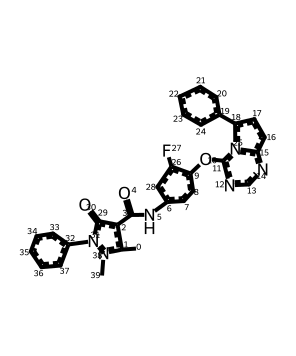 Cc1c(C(=O)Nc2ccc(Oc3ncnc4ccc(-c5ccccc5)n34)c(F)c2)c(=O)n(-c2ccccc2)n1C